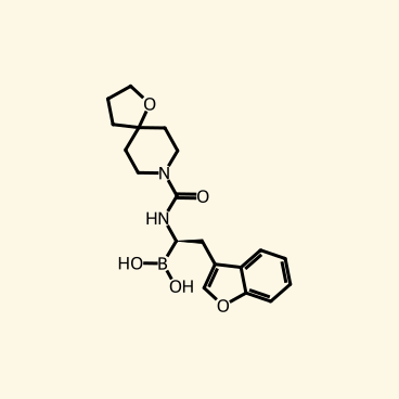 O=C(N[C@@H](Cc1coc2ccccc12)B(O)O)N1CCC2(CCCO2)CC1